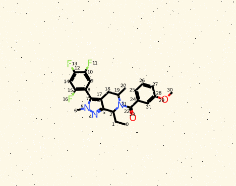 CCC1c2nn(C)c(-c3cc(F)c(F)cc3F)c2CC(C)N1C(=O)c1cccc(OC)c1